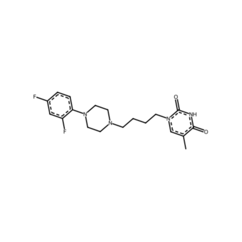 Cc1cn(CCCCN2CCN(c3ccc(F)cc3F)CC2)c(=O)[nH]c1=O